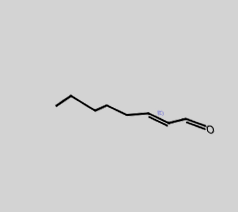 CCCCC/C=C/[C]=O